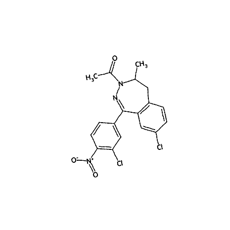 CC(=O)N1N=C(c2ccc([N+](=O)[O-])c(Cl)c2)c2cc(Cl)ccc2CC1C